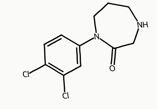 O=C1CNCCCN1c1ccc(Cl)c(Cl)c1